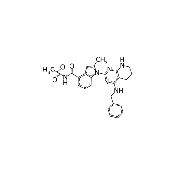 Cc1cc2c(C(=O)NS(C)(=O)=O)cccc2n1-c1nc2c(c(NCc3ccccc3)n1)CCCN2